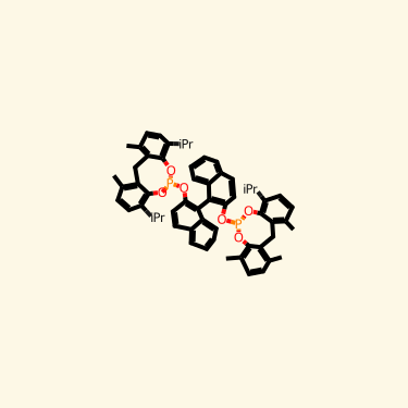 Cc1ccc(C)c2c1Cc1c(C)ccc(C(C)C)c1OP(Oc1ccc3ccccc3c1-c1c(OP3Oc4c(C(C)C)ccc(C)c4Cc4c(C)ccc(C(C)C)c4O3)ccc3ccccc13)O2